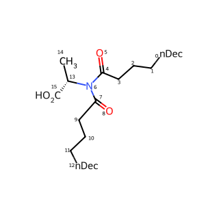 CCCCCCCCCCCCCC(=O)N(C(=O)CCCCCCCCCCCCC)[C@@H](C)C(=O)O